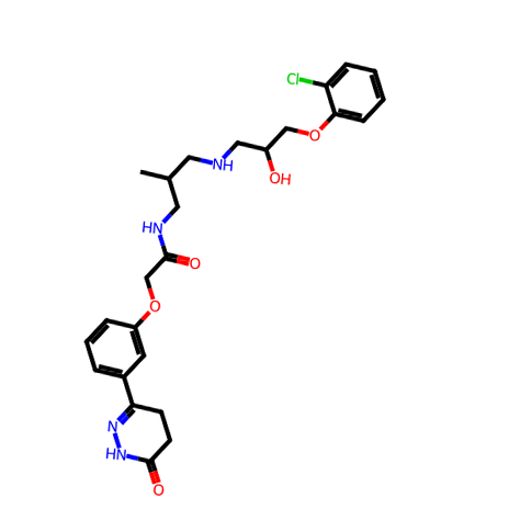 CC(CNCC(O)COc1ccccc1Cl)CNC(=O)COc1cccc(C2=NNC(=O)CC2)c1